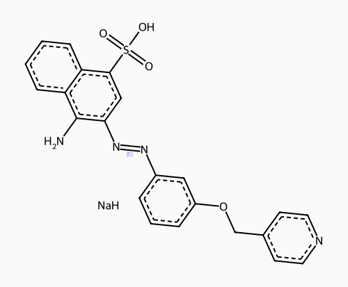 Nc1c(/N=N/c2cccc(OCc3ccncc3)c2)cc(S(=O)(=O)O)c2ccccc12.[NaH]